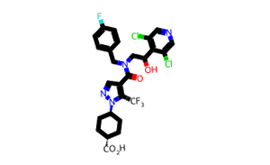 O=C(c1cnn([C@H]2CC[C@H](C(=O)O)CC2)c1C(F)(F)F)N(Cc1ccc(F)cc1)CC(O)c1c(Cl)cncc1Cl